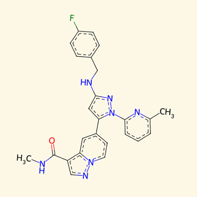 CNC(=O)c1cnn2ccc(-c3cc(NCc4ccc(F)cc4)nn3-c3cccc(C)n3)cc12